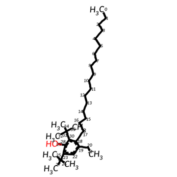 CCCCCCCCCCCCCCCCCCc1c(CC)cc(C(C)(C)C)c(O)c1C(C)(C)C